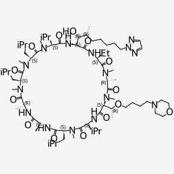 CC[C@@H]1NC(=O)[C@H]([C@H](O)[C@H](C)CCCCCn2nccn2)NC(=O)[C@H](C(C)C)N(C)C(=O)[C@H](CC(C)C)N(C)C(=O)[C@H](CC(C)C)N(C)C(=O)[C@@H](C)NC(=O)[C@H](C)NC(=O)[C@H](CC(C)C)N(C)C(=O)[C@H](C(C)C)NC(=O)[C@H]([C@@H](C)OCCCCN2CCOCC2)N(C)C(=O)[C@@H](C)N(C)C1=O